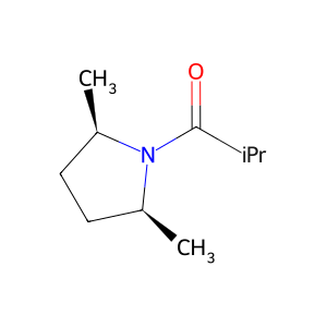 CC(C)C(=O)N1[C@H](C)CC[C@@H]1C